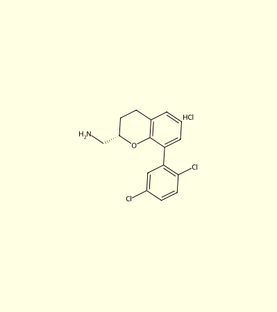 Cl.NC[C@@H]1CCc2cccc(-c3cc(Cl)ccc3Cl)c2O1